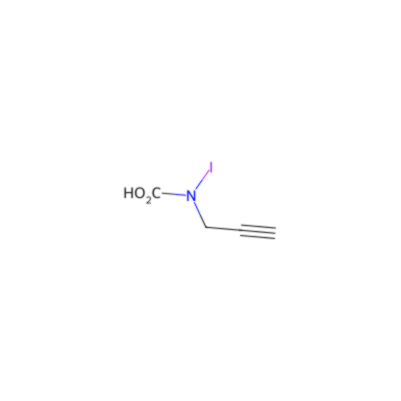 C#CCN(I)C(=O)O